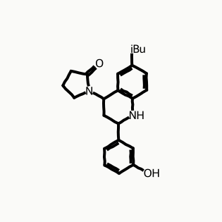 CCC(C)c1ccc2c(c1)C(N1CCCC1=O)CC(c1cccc(O)c1)N2